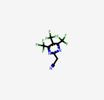 N#CCc1nc(C(F)(F)F)c(C(F)(F)F)c(C(F)(F)F)n1